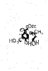 CCCCCCCCCCCC(=O)c1ccc(O)c(C(=O)O)c1.CN(C)CCO